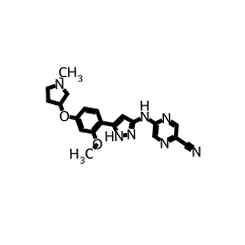 COc1cc(OC2CCN(C)C2)ccc1-c1cc(Nc2cnc(C#N)cn2)n[nH]1